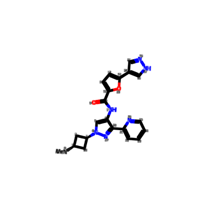 CN[C@H]1C[C@@H](n2cc(NC(=O)c3ccc(-c4cn[nH]c4)o3)c(-c3ccccn3)n2)C1